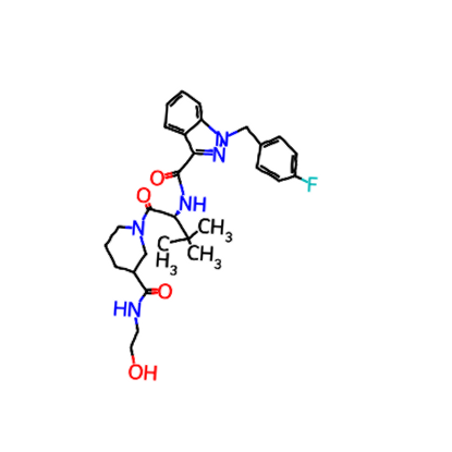 CC(C)(C)[C@H](NC(=O)c1nn(Cc2ccc(F)cc2)c2ccccc12)C(=O)N1CCCC(C(=O)NCCO)C1